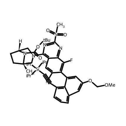 COCOc1cc(-c2c(F)cc3c(N4C[C@H]5CC[C@@](C)(C4)N5C(=O)OC(C)(C)C)nc(S(C)(=O)=O)nc3c2F)c2c(C#C[Si](C(C)C)(C(C)C)C(C)C)cccc2c1